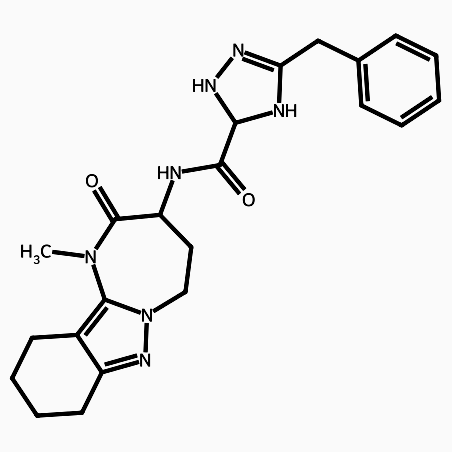 CN1C(=O)C(NC(=O)C2NN=C(Cc3ccccc3)N2)CCn2nc3c(c21)CCCC3